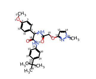 COc1ccc(C(NC(=O)COc2ccn(C)n2)C(=O)Nc2ccc(C(C)(C)C)cc2)cc1